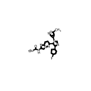 Cc1onc2c1C2n1cnc(-c2ccc(F)cc2)c1-c1ccc2nc(NC(=O)C(C)(C)C)cn2n1